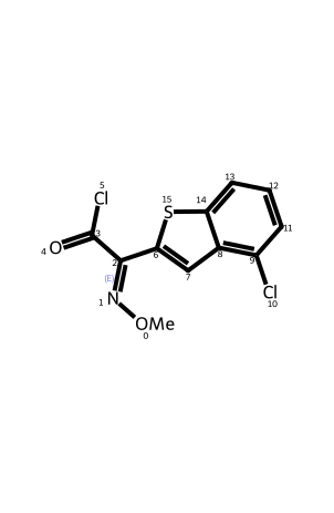 CO/N=C(/C(=O)Cl)c1cc2c(Cl)cccc2s1